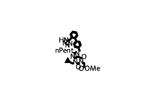 CCCCCc1nc2c(c(=O)n(CC(=O)OC)c(=O)n2CC2CC2)n1Cc1ccc(-c2ccccc2-c2nnn[nH]2)cc1